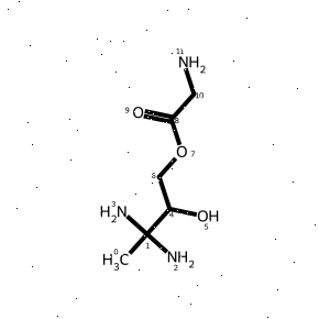 CC(N)(N)C(O)COC(=O)CN